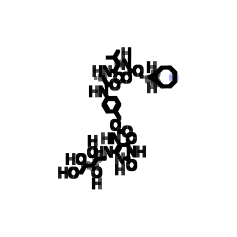 CC(C)[C@H](NC(=O)OC[C@H]1[C@@H]2CC/C=C\CC[C@@H]21)C(=O)N[C@@H](C)C(=O)Nc1ccc(COC(=O)Nc2c(NC[C@H](O)[C@H](O)[C@H](O)CO)[nH]c(=O)[nH]c2=O)cc1